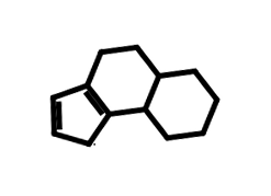 [CH]1C=CC2=C1C1CCCCC1CC2